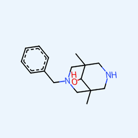 CC12CNCC(C)(CN(Cc3ccccc3)C1)C2O